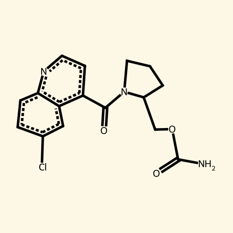 NC(=O)OCC1CCCN1C(=O)c1ccnc2ccc(Cl)cc12